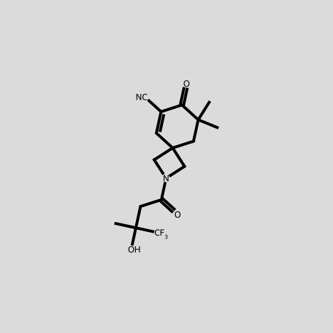 CC1(C)CC2(C=C(C#N)C1=O)CN(C(=O)CC(C)(O)C(F)(F)F)C2